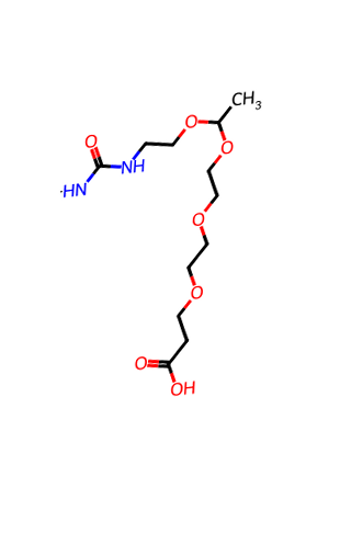 CC(OCCNC([NH])=O)OCCOCCOCCC(=O)O